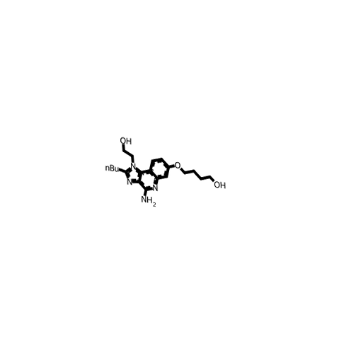 CCCCc1nc2c(N)nc3cc(OCCCCO)ccc3c2n1CCO